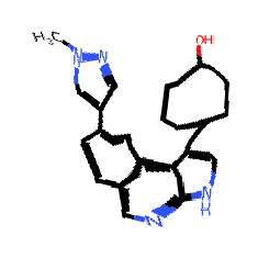 Cn1cc(-c2ccc3cnc4[nH]cc(C5CCC(O)CC5)c4c3c2)cn1